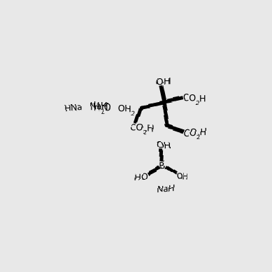 O.O.O=C(O)CC(O)(CC(=O)O)C(=O)O.OB(O)O.[NaH].[NaH].[NaH]